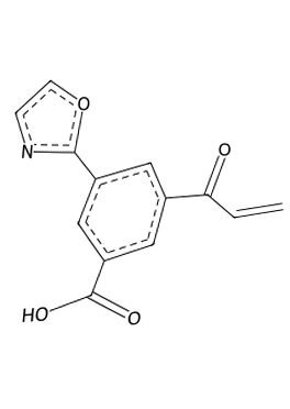 C=CC(=O)c1cc(C(=O)O)cc(-c2ncco2)c1